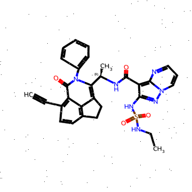 C#Cc1ccc2c3c(c([C@@H](C)NC(=O)c4c(NS(=O)(=O)NCC)nn5cccnc45)n(-c4ccccc4)c(=O)c13)CC2